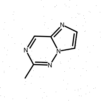 Cc1ncc2nccn2n1